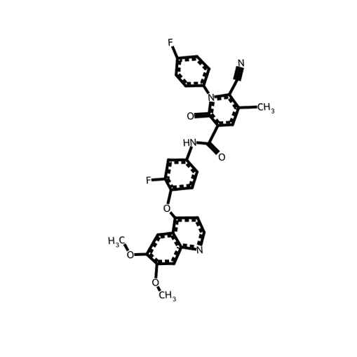 COc1cc2nccc(Oc3ccc(NC(=O)c4cc(C)c(C#N)n(-c5ccc(F)cc5)c4=O)cc3F)c2cc1OC